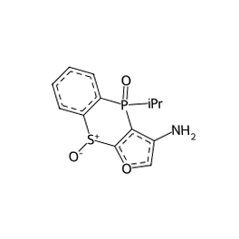 CC(C)P1(=O)c2ccccc2[S+]([O-])c2occ(N)c21